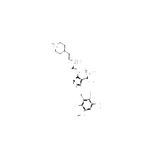 COc1cc(OC)c(F)c(COc2nsc(NC(=O)NCCC3CCN(C)CC3)c2C(N)=O)c1F